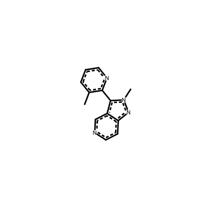 Cc1cccnc1-c1c2cnccc2nn1C